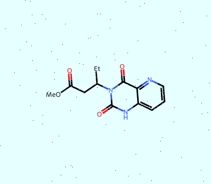 CCC(CC(=O)OC)n1c(=O)[nH]c2cccnc2c1=O